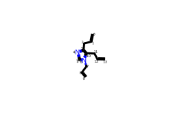 C=CCc1n[c]n(CC=C)c1CC=C